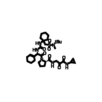 CN(C(C)(C)C)S(=O)(=O)CC1(NC(=O)N[C@H](C(=O)N2CCC[C@H]2C(=O)NCC(=O)C(=O)NC2CC2)C2=CCCCC2)CCCCC1